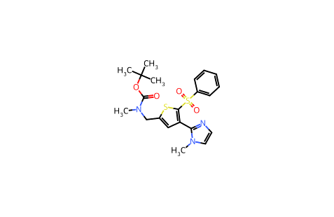 CN(Cc1cc(-c2nccn2C)c(S(=O)(=O)c2ccccc2)s1)C(=O)OC(C)(C)C